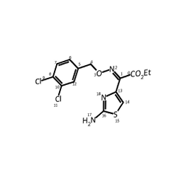 CCOC(=O)/C(=N/OCc1ccc(Cl)c(Cl)c1)c1csc(N)n1